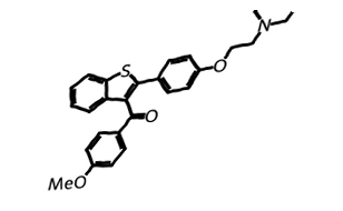 COc1ccc(C(=O)c2c(-c3ccc(OCCN4CCOCC4)cc3)sc3ccccc23)cc1